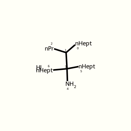 CCCCCCCC(CCC)C(N)(CCCCCCC)CCCCCCC.I